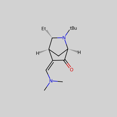 CC[C@H]1[C@H]2C[C@H](C(=O)C2=CN(C)C)N1C(C)(C)C